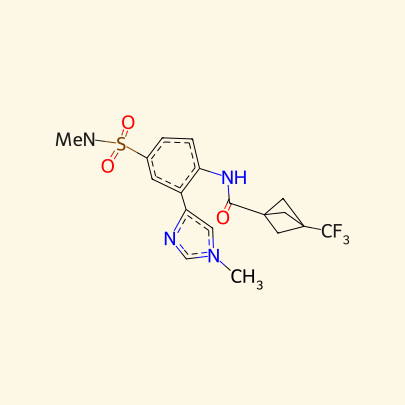 CNS(=O)(=O)c1ccc(NC(=O)C23CC(C(F)(F)F)(C2)C3)c(-c2cn(C)cn2)c1